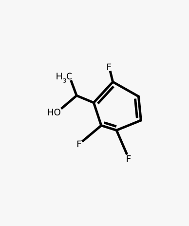 CC(O)c1c(F)ccc(F)c1F